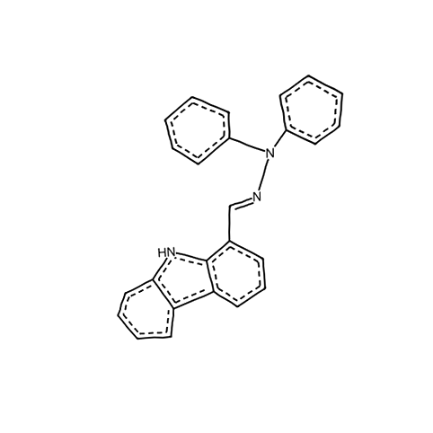 C(=NN(c1ccccc1)c1ccccc1)c1cccc2c1[nH]c1ccccc12